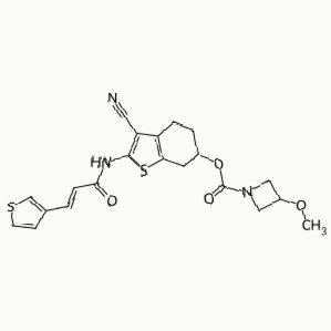 COC1CN(C(=O)OC2CCc3c(sc(NC(=O)C=Cc4ccsc4)c3C#N)C2)C1